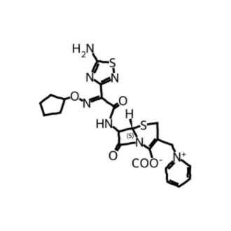 Nc1nc(C(=NOC2CCCC2)C(=O)NC2C(=O)N3C(C(=O)[O-])=C(C[n+]4ccccc4)CS[C@@H]23)ns1